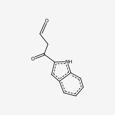 O=CCC(=O)c1cc2ccccc2[nH]1